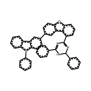 c1ccc(C2=NC(c3cccc4oc5ccc(-c6ccc7c(c6)c6ccccc6n7-c6ccccc6)cc5c34)=NC(c3ccccc3)N2)cc1